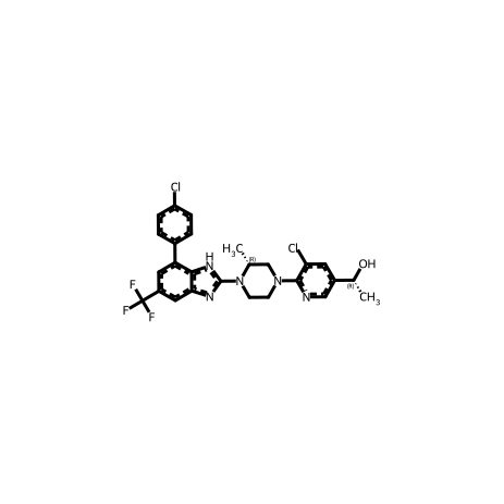 C[C@@H]1CN(c2ncc([C@@H](C)O)cc2Cl)CCN1c1nc2cc(C(F)(F)F)cc(-c3ccc(Cl)cc3)c2[nH]1